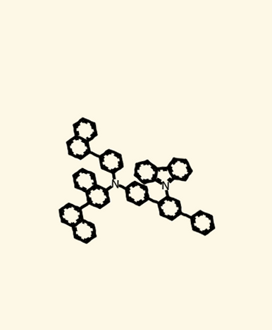 c1ccc(-c2ccc(-c3ccc(N(c4cccc(-c5cccc6ccccc56)c4)c4ccc(-c5cccc6ccccc56)c5ccccc45)cc3)c(-n3c4ccccc4c4ccccc43)c2)cc1